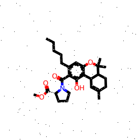 CCCCCc1cc2c(c(O)c1C(=O)N1CCC[C@@H]1C(=O)OC)C1C=C(C)CCC1C(C)(C)O2